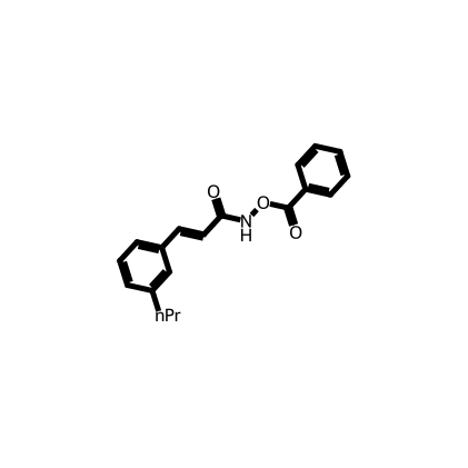 CCCc1cccc(C=CC(=O)NOC(=O)c2ccccc2)c1